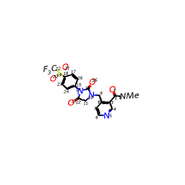 CNC(=O)c1cnccc1CN1CC(=O)N(c2ccc(S(=O)(=O)C(F)(F)F)cc2)C1=O